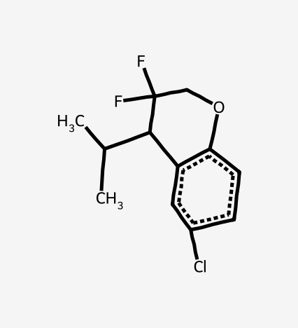 CC(C)C1c2cc(Cl)ccc2OCC1(F)F